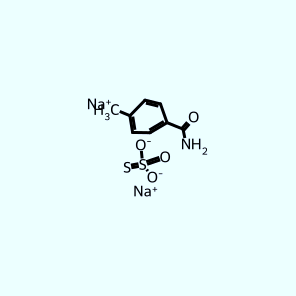 Cc1ccc(C(N)=O)cc1.O=S([O-])([O-])=S.[Na+].[Na+]